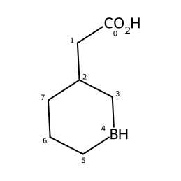 O=C(O)CC1CBCCC1